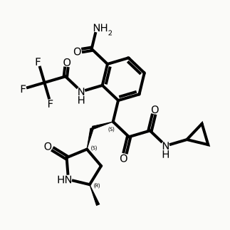 C[C@@H]1C[C@H](C[C@H](C(=O)C(=O)NC2CC2)c2cccc(C(N)=O)c2NC(=O)C(F)(F)F)C(=O)N1